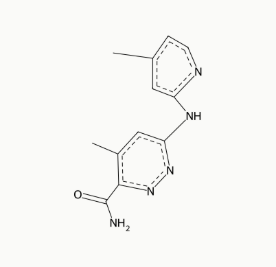 Cc1ccnc(Nc2cc(C)c(C(N)=O)nn2)c1